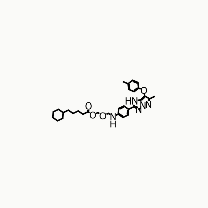 Cc1ccc(Oc2c(C)nn3nc(-c4ccc(NCOCOC(=O)CCCCC5CCCCC5)cc4)[nH]c23)cc1